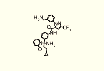 NCc1cccc(-n2nc(C(F)(F)F)cc2C(=O)Nc2cccc(C(N)(CCC3CC3)n3ccccc3=O)c2)c1